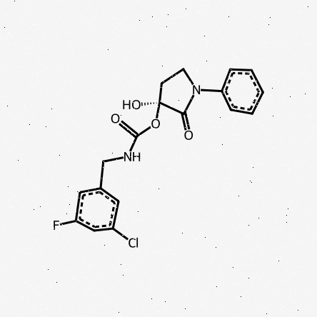 O=C(NCc1cc(F)cc(Cl)c1)O[C@@]1(O)CCN(c2ccccc2)C1=O